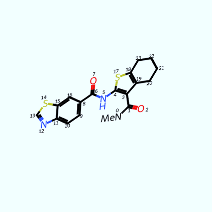 CNC(=O)c1c(NC(=O)c2ccc3ncsc3c2)sc2c1CCCC2